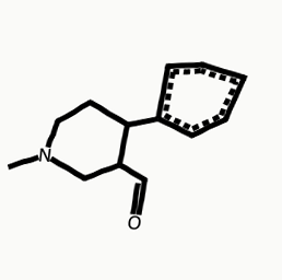 CN1CCC(c2ccccc2)C(C=O)C1